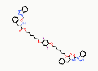 O=C(OCCCCCCOc1cc(I)c(OCCCCCCOC(=O)[C@H](Cc2ccccc2)NC(=O)n2nnc3ccccc32)cc1I)[C@H](Cc1ccccc1)NOCn1nnc2ccccc21